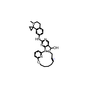 CN1CCc2ccc(Nc3ncc4c(n3)N3c5cccc(n5)OCCCC/C=C/CN3C4O)cc2C12CC2